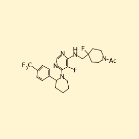 CC(=O)N1CCC(F)(CNc2ncnc(N3CCCCC3c3ccc(C(F)(F)F)cc3)c2F)CC1